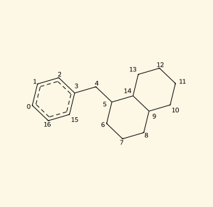 c1ccc(CC2CCCC3CCCCC32)cc1